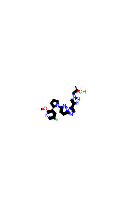 COc1ncc(F)cc1[C@H]1CCCN1c1ccc2ncc(-c3cn(C[C@@H](C)O)nn3)n2n1